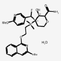 CCCCc1cc2ccccc2c(OCC[N+](C)(C)[C@@]2(C(F)c3ccc(OC)nc3)CCOC(C(N)=O)[C@@H]2O)n1.O